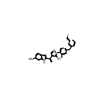 C=C(/C=C(C)\C(=C/C)n1ncc(C(=C)c2cc3ccc(CCCC)cc3[nH]2)c1S)CC(/C=C\C)=C/C=C/F